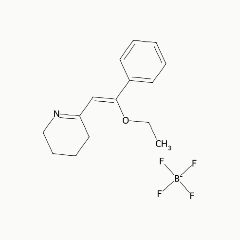 CCOC(=CC1=NCCCC1)c1ccccc1.F[B-](F)(F)F